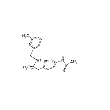 CC(=S)Nc1ccc(C[C@@H](C)NCc2cccc(C)n2)cc1